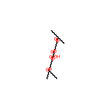 CCCCCCCCC(CCCCCC)C(=O)OCCCCCCCOC(=O)CCC(O)C(=O)OCCCCCCCOC(=O)C(CCCCCC)CCCCCCCC